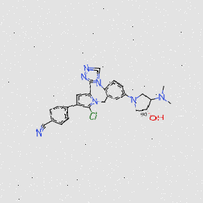 CN(C)C1CN(c2ccc3c(c2)Cn2c(cc(-c4ccc(C#N)cc4)c2Cl)-c2nncn2-3)C[C@H]1O